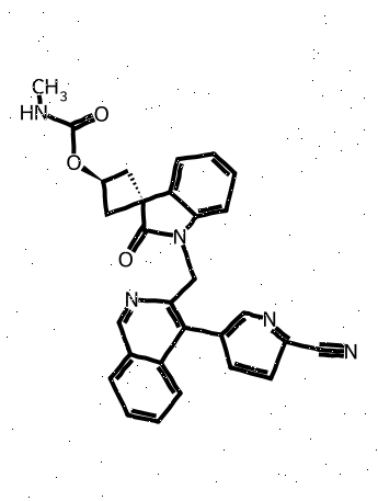 CNC(=O)O[C@H]1C[C@@]2(C1)C(=O)N(Cc1ncc3ccccc3c1-c1ccc(C#N)nc1)c1ccccc12